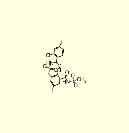 CS(=O)(=O)NC(=O)c1cc(I)cc(CS(=O)(=O)NC(=O)c2ccc(I)cc2Cl)c1Cl